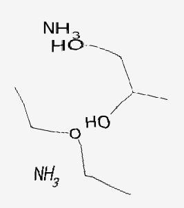 CC(O)CO.CCOCC.N.N